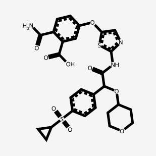 NC(=O)c1ccc(Oc2cnc(NC(=O)C(OC3CCOCC3)c3ccc(S(=O)(=O)C4CC4)cc3)s2)cc1C(=O)O